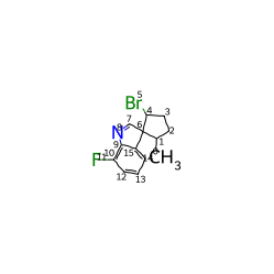 CC1CCC(Br)C12C=Nc1c(F)cccc12